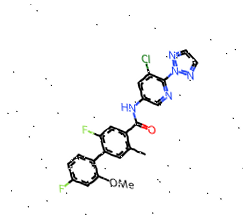 COc1cc(F)ccc1-c1cc(C)c(C(=O)Nc2cnc(-n3nccn3)c(Cl)c2)cc1F